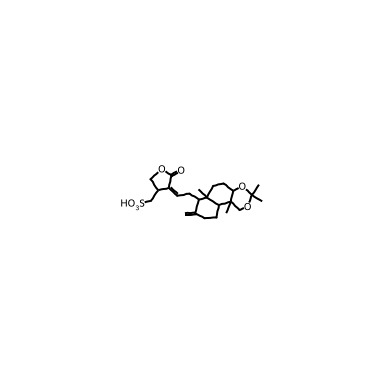 C=C1CCC2C3(C)COC(C)(C)OC3CCC2(C)C1C/C=C1\C(=O)OCC1CS(=O)(=O)O